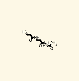 O=C(P)NNC(=O)CCNC(=O)CCS